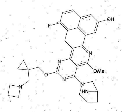 COc1nc2c(c3nc(OCC4(CN5CCC5)CC4)nc(N4CC5CC(C4)N5)c13)Cc1c(F)ccc3cc(O)cc-2c13